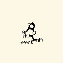 CCCCCC(CCC)C(O)Oc1ccsc1Br